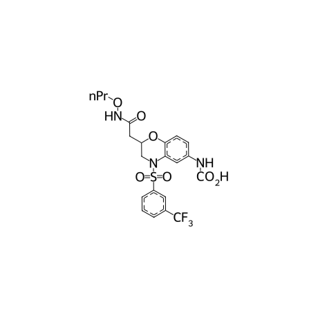 CCCONC(=O)CC1CN(S(=O)(=O)c2cccc(C(F)(F)F)c2)c2cc(NC(=O)O)ccc2O1